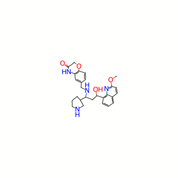 COc1ccc2cccc(C(O)CC(NCc3ccc4c(c3)NC(=O)CO4)C3CCCNC3)c2n1